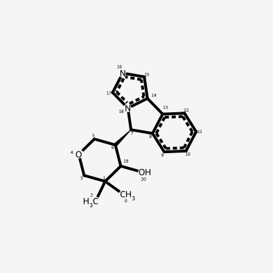 CC1(C)COCC([C@@H]2c3ccccc3-c3cncn32)C1O